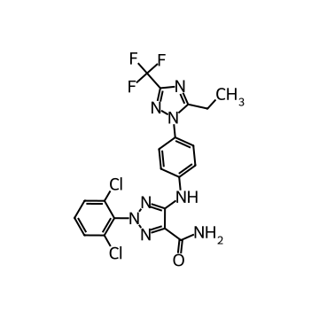 CCc1nc(C(F)(F)F)nn1-c1ccc(Nc2nn(-c3c(Cl)cccc3Cl)nc2C(N)=O)cc1